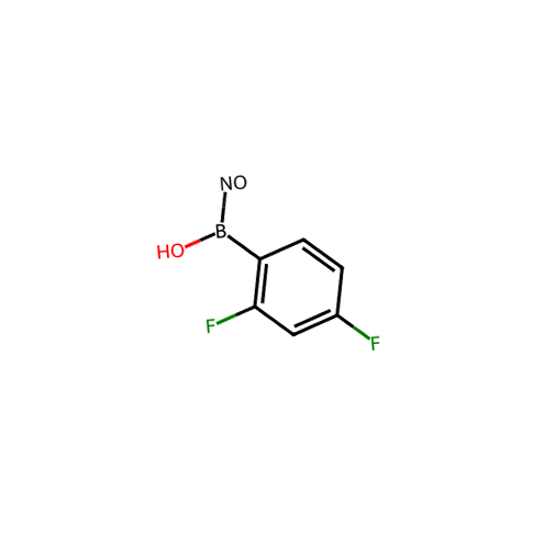 O=NB(O)c1ccc(F)cc1F